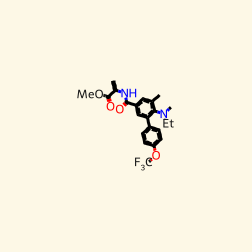 C=C(NC(=O)c1cc(C)c(N(C)CC)c(-c2ccc(OC(F)(F)F)cc2)c1)C(=O)OC